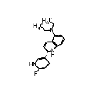 CCN(CC)c1cccc2c1C=C[C@@H](C1=CN[C@H](F)CC1)N2